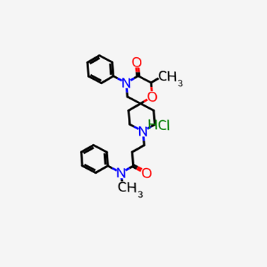 CC1OC2(CCN(CCC(=O)N(C)c3ccccc3)CC2)CN(c2ccccc2)C1=O.Cl